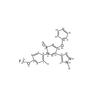 Cc1cc(OC(F)(F)F)ccc1-n1cc(-c2cnn(C)c2)c(Oc2ccccc2)cc1=O